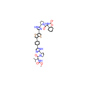 COC(=O)N[C@H](C(=O)N1CC=CC1c1ncc(-c2ccc(-c3csc4c(-c5c[nH]c(C6CCCN6C(=O)[C@H](NC(=O)OC)c6ccccc6)n5)csc34)cc2)[nH]1)C(C)C